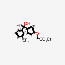 CCOC(=O)COc1ccc(C(O)(CC)c2cccc(C(F)(F)F)c2)cc1